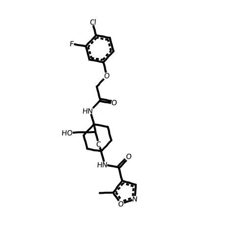 Cc1oncc1C(=O)NC12CCC(NC(=O)COc3ccc(Cl)c(F)c3)(CC1)C(O)C2